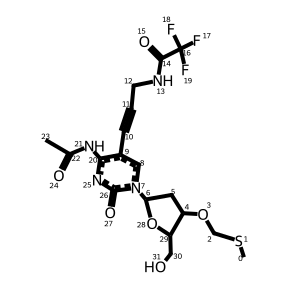 CSCOC1CC(n2cc(C#CCNC(=O)C(F)(F)F)c(NC(C)=O)nc2=O)OC1CO